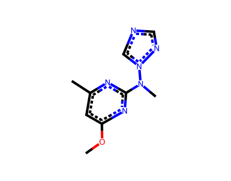 COc1cc(C)nc(N(C)n2cncn2)n1